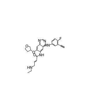 C#Cc1cc(Nc2ncnc3cc(OC4CCOC4)c(NC(=O)C=CCNCC)cc23)ccc1F